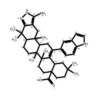 CC1(C)CCC2(C(=O)O)CCC3(C)C(=C(c4ccc5[nH]ccc5c4)CC4C5(C)Cc6c(n[nH]c6N)C(C)(C)C5CCC43C)C2C1